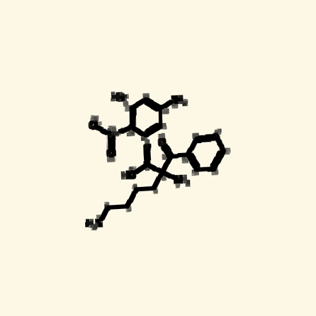 Br.NCCCCC(N)(C(=O)O)C(=O)c1ccccc1.Nc1ccc([N+](=O)[O-])cc1